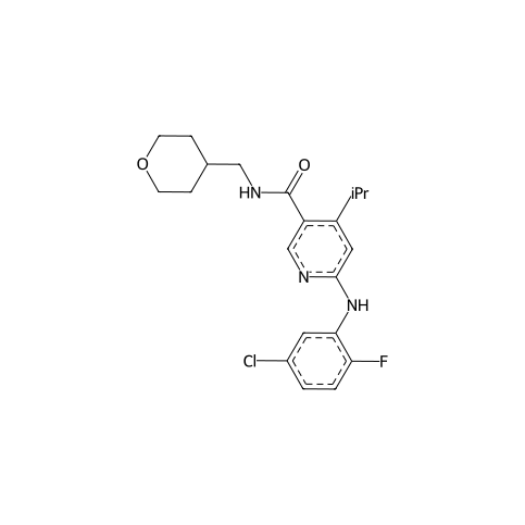 CC(C)c1cc(Nc2cc(Cl)ccc2F)ncc1C(=O)NCC1CCOCC1